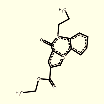 CCCn1c(=O)c2cc(C(=O)OCC)cn2c2ccccc21